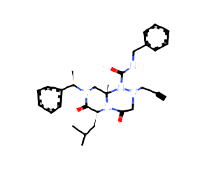 C#CCN1CC(=O)N2[C@@H](CC(C)C)C(=O)N([C@H](C)c3ccccc3)C[C@@H]2N1C(=O)NCc1ccccc1